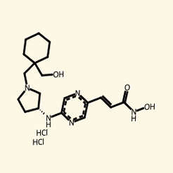 Cl.Cl.O=C(/C=C/c1cnc(N[C@@H]2CCN(CC3(CO)CCCCC3)C2)cn1)NO